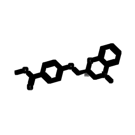 COC(=O)c1ccc(OC[C@@H]2CN(C)c3ccccc3O2)cc1